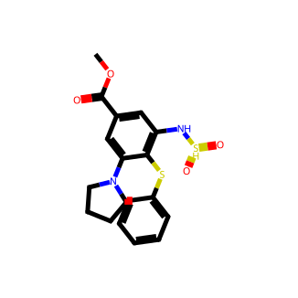 COC(=O)c1cc(N[SH](=O)=O)c(Sc2ccccc2)c(N2CCCC2)c1